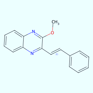 COc1nc2ccccc2nc1/C=C/c1ccccc1